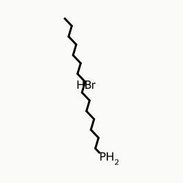 Br.CCCCCCCCCCCCCCCP